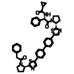 O=C(N[C@H](C(=O)N1CCC[C@@H]1c1ncc(-c2ccc(-c3ccc(-c4cnc([C@H]5CCCN5C(=O)Cc5ccccc5)s4)cc3)cc2)s1)c1ccccc1)C1CC1